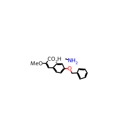 CN.COC(=Cc1ccc(OCc2ccccc2)cc1)C(=O)O